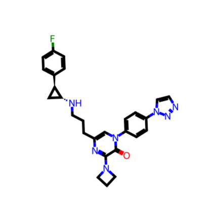 O=c1c(N2CCC2)nc(CCCN[C@@H]2C[C@H]2c2ccc(F)cc2)cn1-c1ccc(-n2ccnn2)cc1